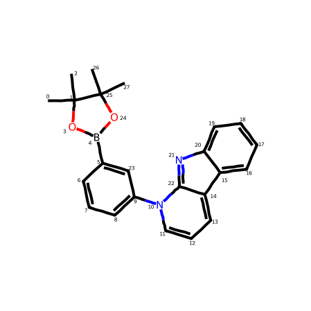 CC1(C)OB(c2cccc(-n3cccc4c5ccccc5nc3-4)c2)OC1(C)C